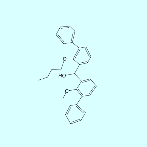 CCCCOc1c(-c2ccccc2)cccc1C(O)c1cccc(-c2ccccc2)c1OC